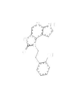 Cc1ccccc1CCn1c(=O)[nH]c2cnc3[nH]ccc3c21